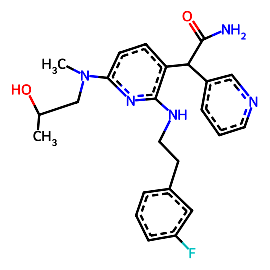 CC(O)CN(C)c1ccc(C(C(N)=O)c2cccnc2)c(NCCc2cccc(F)c2)n1